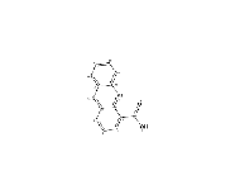 O=C(O)c1cccc2c1=[As]c1ccccc1N=2